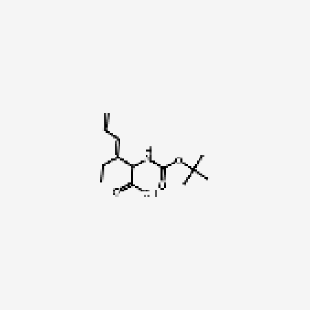 C=C/C=C(\CC)C(NC(=O)OC(C)(C)C)C(=O)O